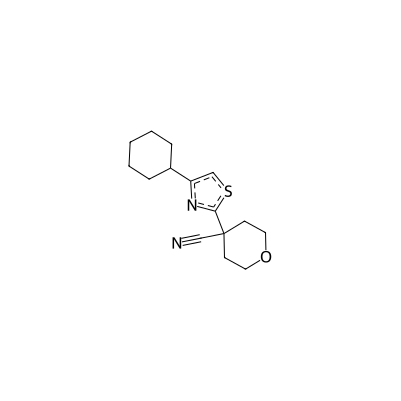 N#CC1(c2nc(C3CCCCC3)cs2)CCOCC1